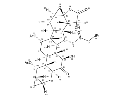 CC(=O)O[C@H]1C[C@H]2[C@H]([C@@H]3[C@@H](OC(=O)CC(C)C)[C@@H]4[C@H]([C@H](C)[C@H]5O[C@]56OC(=O)[C@@](C)(O)[C@]46C)[C@]31C)[C@@H](O)C(=O)[C@H]1C[C@@H]3O[C@@H]3[C@H](OC(C)=O)[C@@]12C